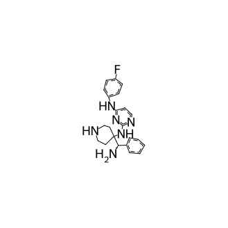 N[C@H](c1ccccc1)C1(Nc2nccc(Nc3ccc(F)cc3)n2)CCNCC1